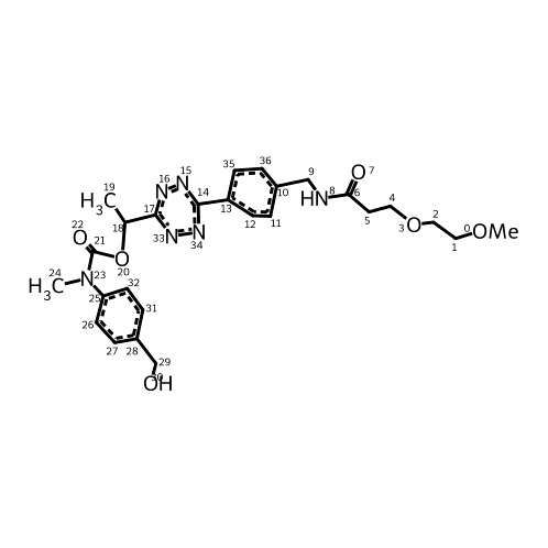 COCCOCCC(=O)NCc1ccc(-c2nnc(C(C)OC(=O)N(C)c3ccc(CO)cc3)nn2)cc1